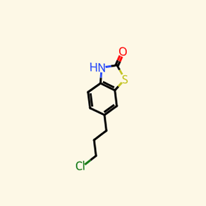 O=c1[nH]c2ccc(CCCCl)cc2s1